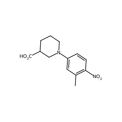 Cc1cc(N2CCCC(C(=O)O)C2)ccc1[N+](=O)[O-]